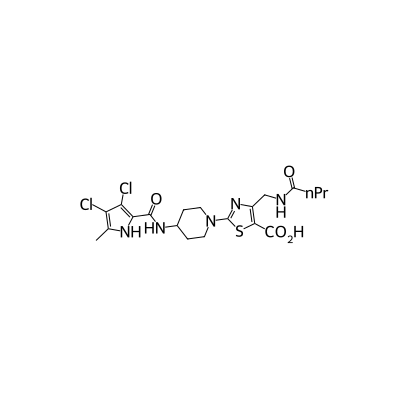 CCCC(=O)NCc1nc(N2CCC(NC(=O)c3[nH]c(C)c(Cl)c3Cl)CC2)sc1C(=O)O